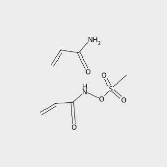 C=CC(=O)NOS(C)(=O)=O.C=CC(N)=O